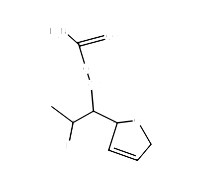 NC(=O)OCC(C(F)F)C1C=CCO1